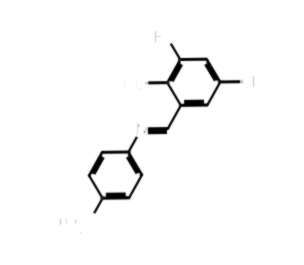 CCOC(=O)c1ccc(/N=C/c2cc(Cl)cc(Br)c2O)cc1